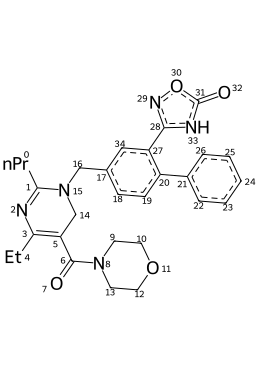 CCCC1=NC(CC)=C(C(=O)N2CCOCC2)CN1Cc1ccc(-c2ccccc2)c(-c2noc(=O)[nH]2)c1